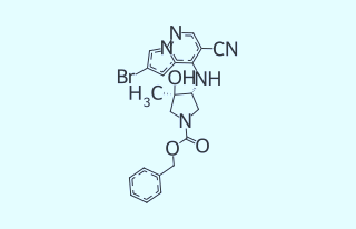 C[C@@]1(O)CN(C(=O)OCc2ccccc2)C[C@H]1Nc1c(C#N)cnn2cc(Br)cc12